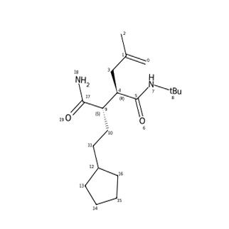 C=C(C)C[C@@H](C(=O)NC(C)(C)C)[C@H](CCC1CCCC1)C(N)=O